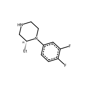 CC[C@@H]1CNCCN1c1ccc(F)c(F)c1